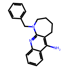 Nc1c2c(nc3ccccc13)N(Cc1ccccc1)CCCC2